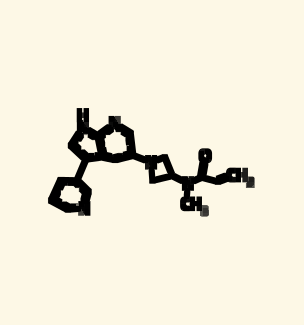 C=CC(=O)N(C)C1CN(c2cnc3[nH]cc(-c4cccnc4)c3c2)C1